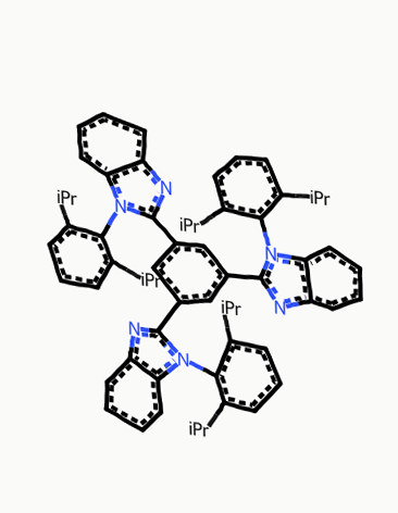 CC(C)c1cccc(C(C)C)c1-n1c(-c2cc(-c3nc4ccccc4n3-c3c(C(C)C)cccc3C(C)C)cc(-c3nc4ccccc4n3-c3c(C(C)C)cccc3C(C)C)c2)nc2ccccc21